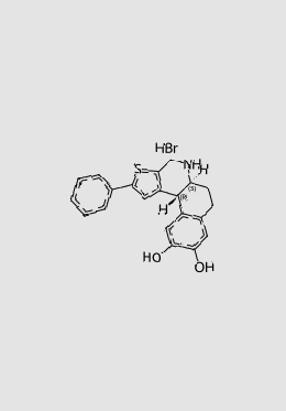 Br.Oc1cc2c(cc1O)[C@@H]1c3cc(-c4ccccc4)sc3CN[C@H]1CC2